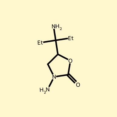 CCC(N)(CC)C1CN(N)C(=O)O1